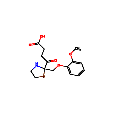 COc1ccccc1OCC1(C(=O)CCC(=O)O)NCCS1